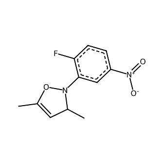 CC1=CC(C)N(c2cc([N+](=O)[O-])ccc2F)O1